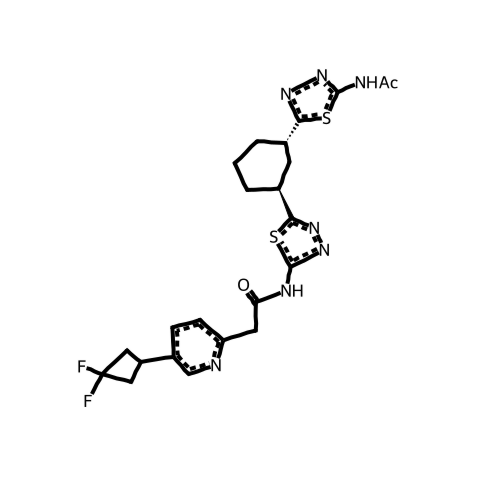 CC(=O)Nc1nnc([C@H]2CCC[C@H](c3nnc(NC(=O)Cc4ccc(C5CC(F)(F)C5)cn4)s3)C2)s1